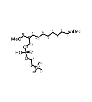 CCCCCCCCCCCCCCCCSCC(COC)COP(=O)(O)OCC[N+](C)(C)C